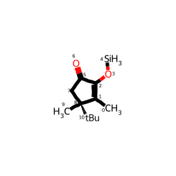 CC1=C(O[SiH3])C(=O)C[C@]1(C)C(C)(C)C